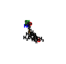 C=C1C[C@@H]2[C@H](CC[C@]3(C)C(=O)CC[C@@H]23)[C@@]2(C)CC[C@@H](SCCCNC(=O)C(F)(F)F)CC12